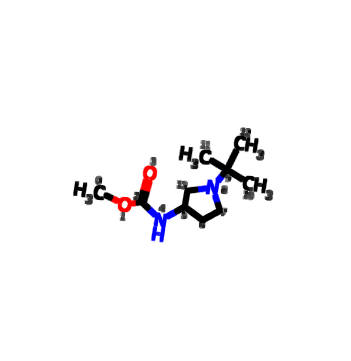 COC(=O)NC1CCN(C(C)(C)C)C1